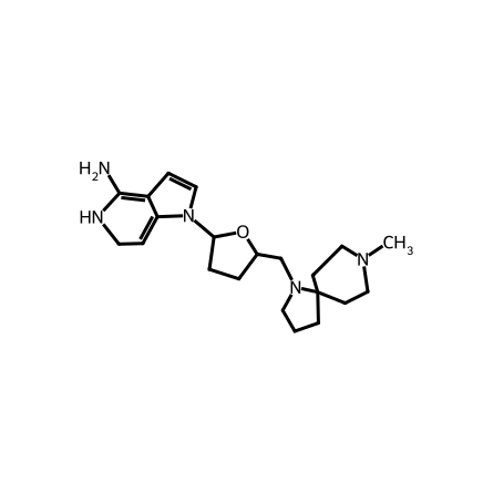 CN1CCC2(CCCN2CC2CCC(n3ccc4c3=CCNC=4N)O2)CC1